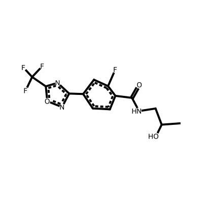 CC(O)CNC(=O)c1ccc(-c2noc(C(F)(F)F)n2)cc1F